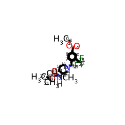 CCOC(=O)c1ccc(CN2CCC[C@@](C)(NC(=O)OC(C)(C)C)C2)c(C(F)(F)F)c1